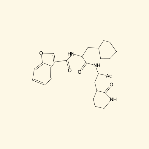 CC(=O)C(CC1CCCNC1=O)NC(=O)C(CC1CCCCC1)NC(=O)c1coc2ccccc12